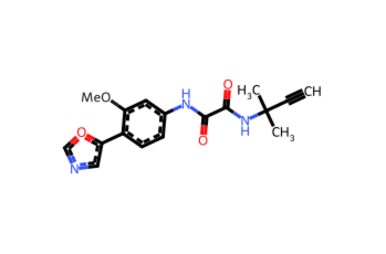 C#CC(C)(C)NC(=O)C(=O)Nc1ccc(-c2cnco2)c(OC)c1